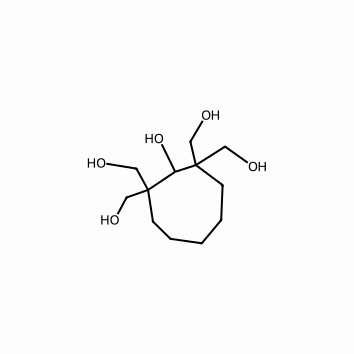 OCC1(CO)CCCCCC(CO)(CO)C1O